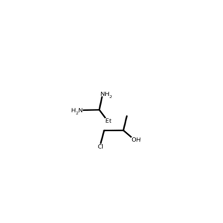 CC(O)CCl.CCC(N)N